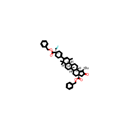 CC1C=C(C2=CC[C@](CF)(C(=O)OCc3ccccc3)CC2)C(C)(C)[C@@H]2CC[C@]3(C)[C@H](CC[C@@H]4C5=C(C(C)(C)C)C(=O)C[C@]5(C(=O)OCc5ccccc5)CC[C@H]43)[C@H]12